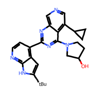 CC(C)(C)c1cc2c(-c3nc(N4CCC(O)C4)c4c(C5CC5)cncc4n3)ccnc2[nH]1